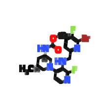 C[C@@H]1C[C@H](NC(=O)OC(C)(C)C)CN(c2ccnc(F)c2NCc2ccc(F)c(Br)n2)C1